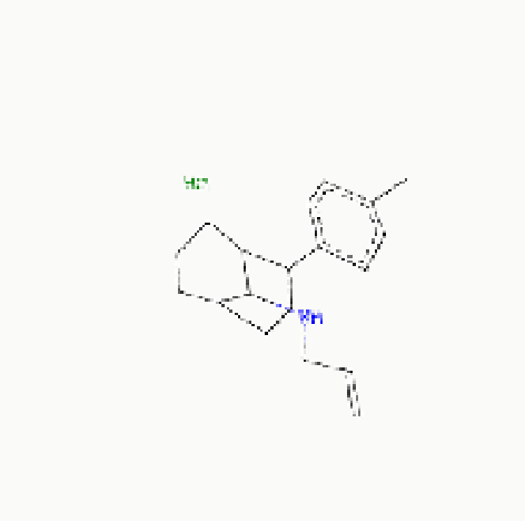 C=CCNC1C2CCCC1C(c1ccc(C)cc1)CC2.Cl